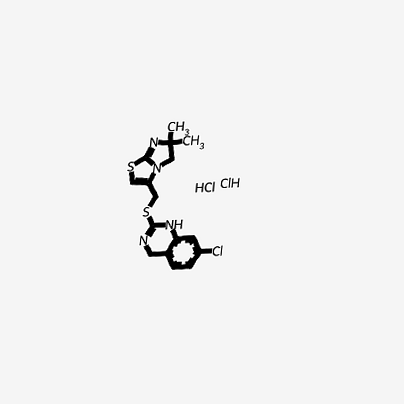 CC1(C)CN2C(CSC3=NCc4ccc(Cl)cc4N3)=CSC2=N1.Cl.Cl